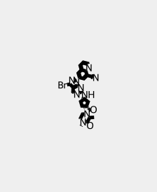 CC1C(=O)N(C)CCN1C(=O)[C@@H]1CC[C@@H](Nc2ncc3c(Br)nn(-c4cc(C#N)c5ncccc5c4)c3n2)C1